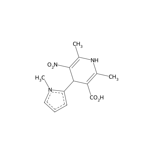 CC1=C(C(=O)O)C(c2cccn2C)C([N+](=O)[O-])=C(C)N1